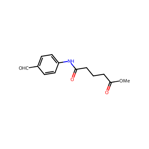 COC(=O)CCCC(=O)Nc1ccc(C=O)cc1